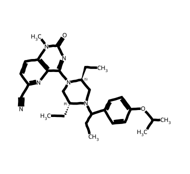 CCC(c1ccc(OC(C)C)cc1)N1C[C@H](CC)N(c2nc(=O)n(C)c3ccc(C#N)nc23)C[C@H]1CC